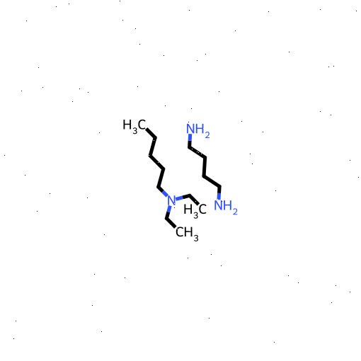 CCCCCN(CC)CC.NCCCCN